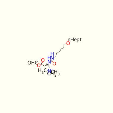 CCCCCCCOCCCCCCNC(=O)N[C@H](CC(=O)OC=O)C[N+](C)(C)C